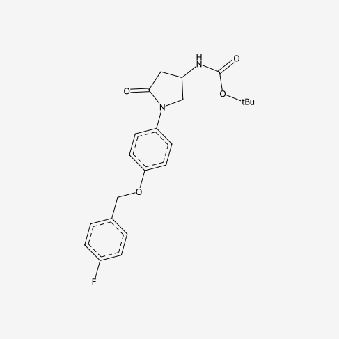 CC(C)(C)OC(=O)NC1CC(=O)N(c2ccc(OCc3ccc(F)cc3)cc2)C1